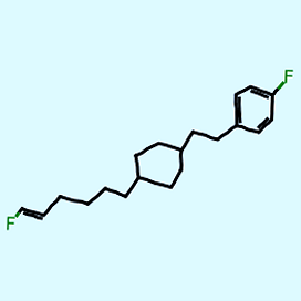 FC=CCCCCC1CCC(CCc2ccc(F)cc2)CC1